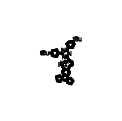 C\C1=C/C=C(c2nc(-c3ccc(C(C)(C)C)cc3)nc(-c3ccc(C(C)(C)C)cc3)n2)\C=N\Cc2cc3c(cc21)C1(CCCC1)CC31CCCC1